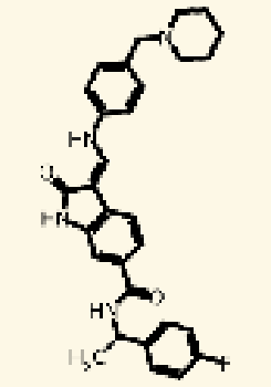 C[C@@H](NC(=O)c1ccc2c(c1)NC(=O)C2=CNc1ccc(CN2CCCCC2)cc1)c1ccc(F)cc1